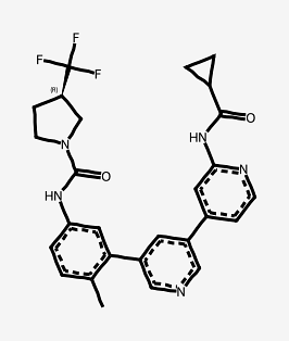 Cc1ccc(NC(=O)N2CC[C@@H](C(F)(F)F)C2)cc1-c1cncc(-c2ccnc(NC(=O)C3CC3)c2)c1